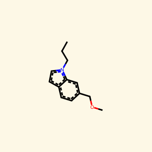 CCCn1ccc2ccc(COC)cc21